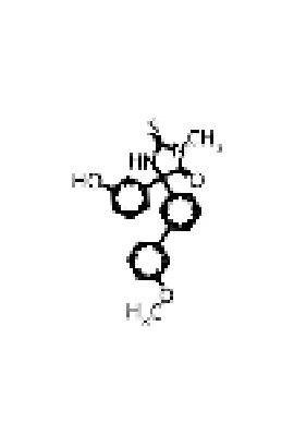 COc1cccc(-c2cccc(C3(c4cccc(O)c4)NC(=S)N(C)C3=O)c2)c1